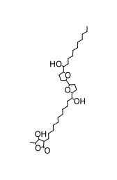 CCCCCCCCCCC(O)C1CCC(C2CCC(C(O)CCCCCCCCCCC3C(=O)OC(C)C3O)O2)O1